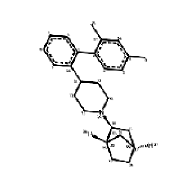 Cc1ccc(-c2ccccc2C2CCN([C@H]3C[C@H]4CC[C@H]3C4)CC2)c(C)c1